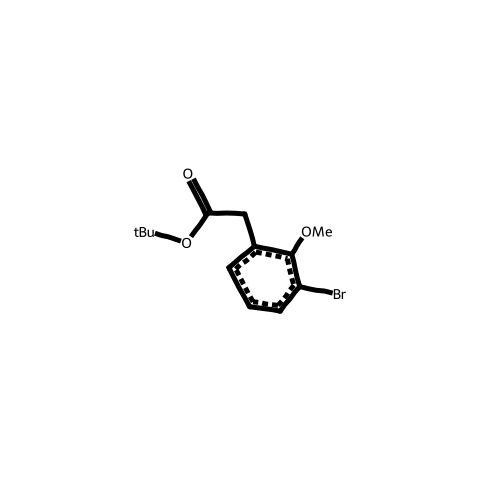 COc1c(Br)cccc1CC(=O)OC(C)(C)C